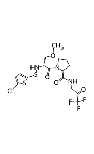 COC[C@H](NSc1ccc(Cl)s1)C(=O)N1CCCC1C(=O)NCC(=O)C(F)(F)F